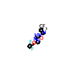 Cc1nc2c(OCc3c(F)cccc3F)cccn2c1C(=O)Nc1ccnc2cc(C(F)(F)F)ccc12